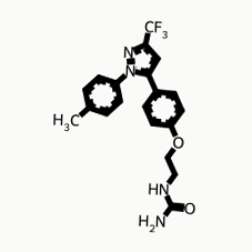 Cc1ccc(-n2nc(C(F)(F)F)cc2-c2ccc(OCCNC(N)=O)cc2)cc1